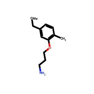 COCc1ccc(C)c(OCCCN)c1